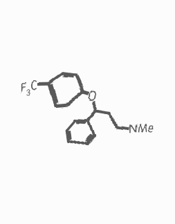 CNCCC(OC1C=CC(C(F)(F)F)=CC1)c1ccccc1